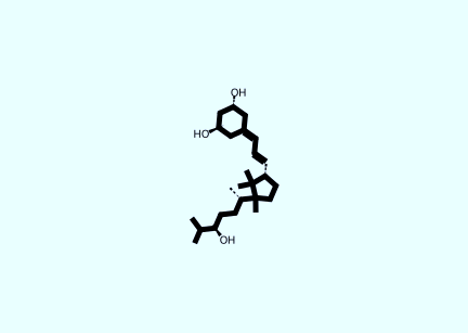 CC(C)[C@H](O)CC[C@H](C)C1(C)CC[C@@H](C=CC=C2C[C@@H](O)C[C@H](O)C2)C1(C)C